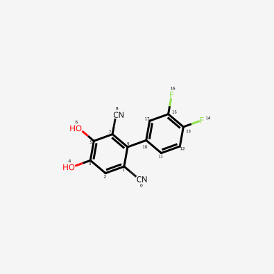 N#Cc1cc(O)c(O)c(C#N)c1-c1ccc(F)c(F)c1